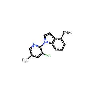 CC(=O)Nc1cccc2c1ccn2-c1ncc(C(F)(F)F)cc1Cl